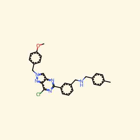 COc1ccc(Cn2cc3nc(-c4cccc(CNCc5ccc(C)cc5)c4)nc(Cl)c3n2)cc1